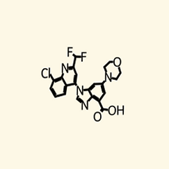 O=C(O)c1cc(N2CCOCC2)cc2c1ncn2-c1cc(C(F)F)nc2c(Cl)cccc12